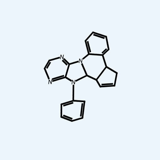 C1=CC2C(C1)c1ccccc1N1c3nccnc3N(c3ccccc3)C21